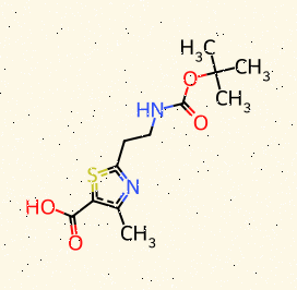 Cc1nc(CCNC(=O)OC(C)(C)C)sc1C(=O)O